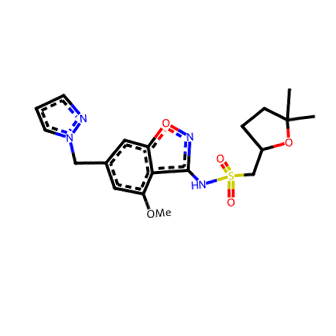 COc1cc(Cn2cccn2)cc2onc(NS(=O)(=O)CC3CCC(C)(C)O3)c12